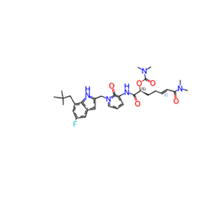 CN(C)C(=O)/C=C/CC[C@H](OC(=O)N(C)C)C(=O)Nc1cccn(Cc2cc3cc(F)cc(CC(C)(C)C)c3[nH]2)c1=O